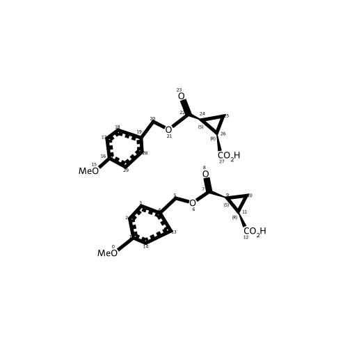 COc1ccc(COC(=O)[C@H]2C[C@H]2C(=O)O)cc1.COc1ccc(COC(=O)[C@H]2C[C@H]2C(=O)O)cc1